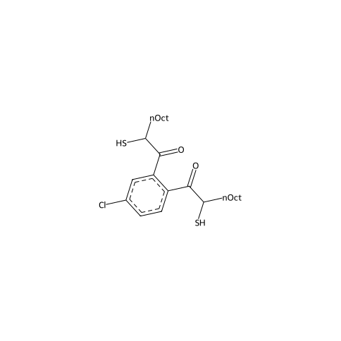 CCCCCCCCC(S)C(=O)c1ccc(Cl)cc1C(=O)C(S)CCCCCCCC